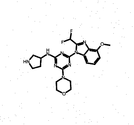 COc1cccc2c1nc(C(F)F)n2-c1nc(NC2CCNC2)nc(N2CCOCC2)n1